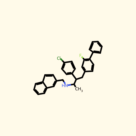 CC(NCc1ccc2ccccc2c1)C(Cc1ccc(-c2ccccc2)c(F)c1)c1ccc(Cl)cc1